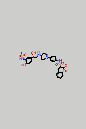 CS(=O)(=O)Nc1cc([C@@H](O)CNC2CCN(c3ccc(NS(=O)(=O)C(Cc4ccccc4)C(=O)O)cc3)CC2)ccc1O